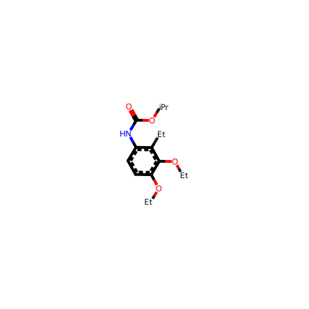 CCOc1ccc(NC(=O)OC(C)C)c(CC)c1OCC